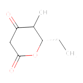 CC[C@@H]1OC(=O)CC(=O)C1C